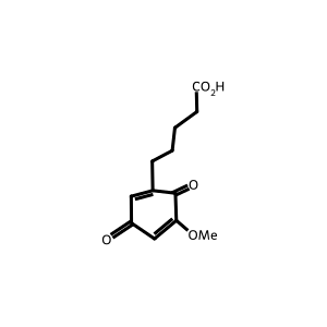 COC1=CC(=O)C=C(CCCCC(=O)O)C1=O